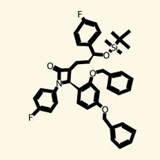 CC(C)(C)[Si](C)(C)O[C@@H](CCC1C(=O)N(c2ccc(F)cc2)[C@@H]1c1ccc(OCc2ccccc2)cc1OCc1ccccc1)c1ccc(F)cc1